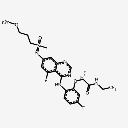 CCCOCCCS(C)(=O)=Nc1cc(F)c2c(Nc3ccc(F)cc3O[C@H](C)C(=O)NCC(F)(F)F)ncnc2c1